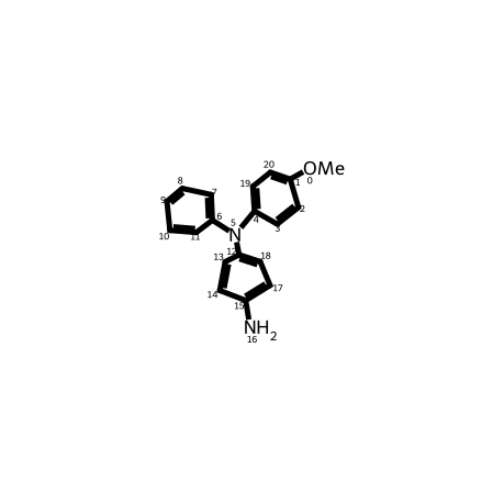 COc1ccc(N(c2ccccc2)c2ccc(N)cc2)cc1